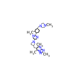 Cc1nc2nc(C)c(CC3CCN(c4cnc(-c5ccc(CN6CCN(C)CC6)cc5C)nc4)C3)c(C)n2n1